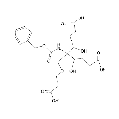 O=C(O)CCOCC(NC(=O)OCc1ccccc1)(C(O)CCC(=O)O)C(O)CCC(=O)O